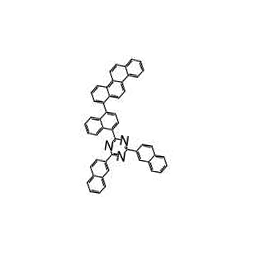 c1ccc2cc(-c3nc(-c4ccc5ccccc5c4)nc(-c4ccc(-c5cccc6c5ccc5c7ccccc7ccc65)c5ccccc45)n3)ccc2c1